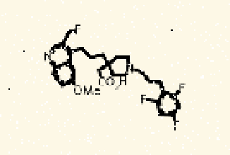 COc1ccc2ncc(CF)c(CCCC3(CC(=O)O)CCN(CCCc4c(F)cc(F)cc4F)CC3)c2c1